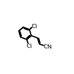 N#CC=Cc1c(Cl)cccc1Cl